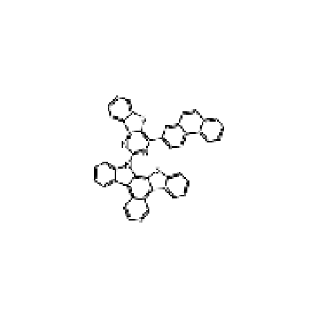 c1ccc2c(c1)ccc1cc(-c3nc(-n4c5ccccc5c5c6ccccc6c6c7ccccc7sc6c54)nc4c3sc3ccccc34)ccc12